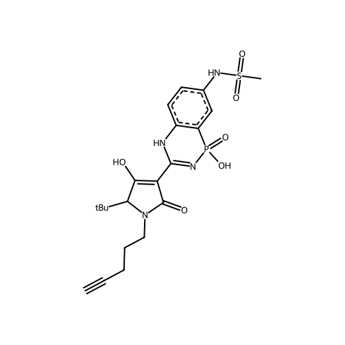 C#CCCCN1C(=O)C(C2=NP(=O)(O)c3cc(NS(C)(=O)=O)ccc3N2)=C(O)C1C(C)(C)C